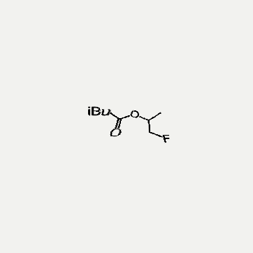 CCC(C)C(=O)OC(C)CF